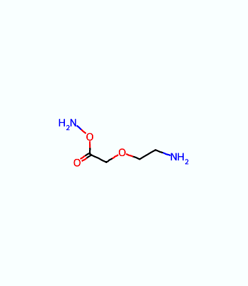 NCCOCC(=O)ON